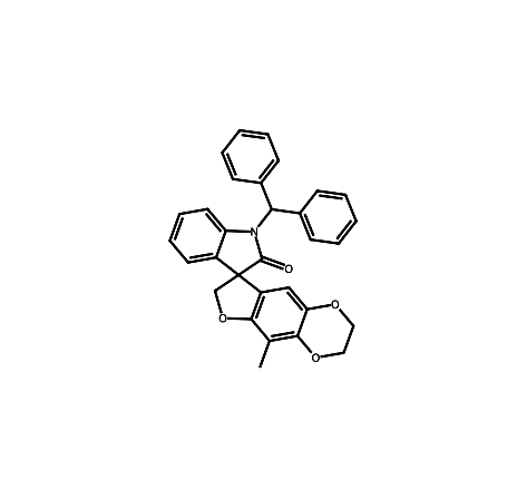 Cc1c2c(cc3c1OCC31C(=O)N(C(c3ccccc3)c3ccccc3)c3ccccc31)OCCO2